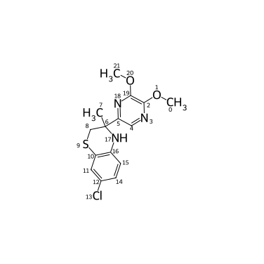 COc1ncc(C2(C)CSc3cc(Cl)ccc3N2)nc1OC